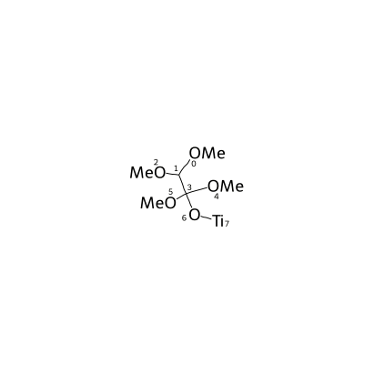 COC(OC)C(OC)(OC)[O][Ti]